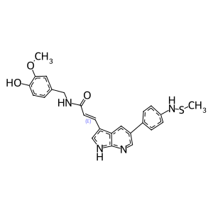 COc1cc(CNC(=O)/C=C/c2c[nH]c3ncc(-c4ccc(NSC)cc4)cc23)ccc1O